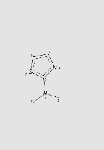 CN(C)c1n[c][c]s1